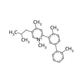 Cc1cc(-c2cc(-c3ccccc3C)ccc2C)[n+](C)cc1CC(C)C